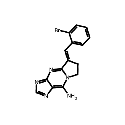 Nc1c2ncnc-2nc2n1CC/C2=C\c1ccccc1Br